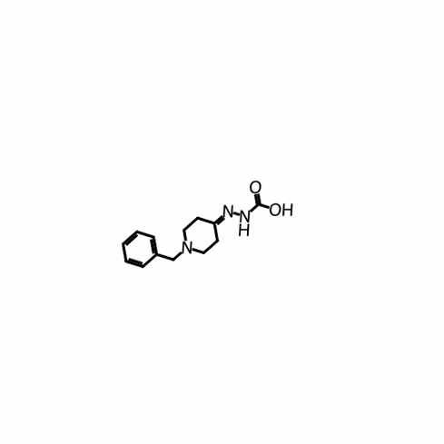 O=C(O)NN=C1CCN(Cc2ccccc2)CC1